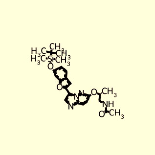 CC(=O)NC[C@@H](C)Oc1ccc2ncc(-c3cc4ccc(O[Si](C)(C)C(C)(C)C)cc4o3)n2n1